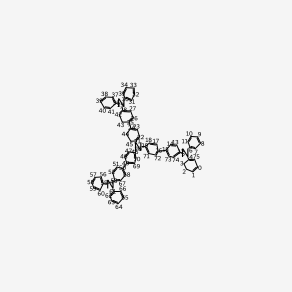 C1=CCCC(N(c2ccccc2)c2ccc(-c3ccc(N(C4=CC=C(C5=CC=C(N(c6ccccc6)c6ccccc6)CC5)CC4)c4ccc(-c5ccc(N(c6ccccc6)c6ccccc6)cc5)cc4)cc3)cc2)=C1